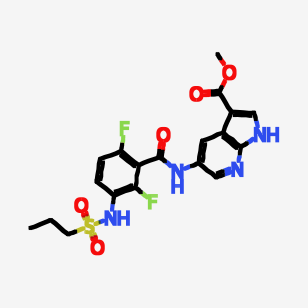 CCCS(=O)(=O)Nc1ccc(F)c(C(=O)Nc2cnc3[nH]cc(C(=O)OC)c3c2)c1F